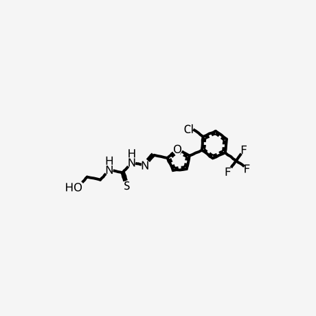 OCCNC(=S)N/N=C/c1ccc(-c2cc(C(F)(F)F)ccc2Cl)o1